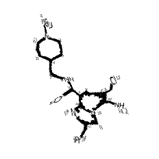 CCCCN1CCC(CNC(=O)c2cc(Cl)c(N)n3cc(C(C)C)nc23)CC1